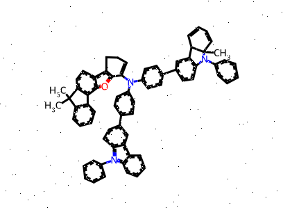 CC1(C)c2ccccc2-c2c1ccc1c3c(oc21)C(N(c1ccc(-c2ccc4c(c2)C2C=CC=CC2(C)N4c2ccccc2)cc1)c1ccc(-c2ccc4c(c2)c2ccccc2n4-c2ccccc2)cc1)=CCC3